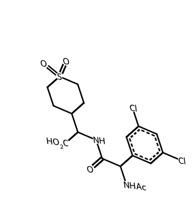 CC(=O)NC(C(=O)NC(C(=O)O)C1CCS(=O)(=O)CC1)c1cc(Cl)cc(Cl)c1